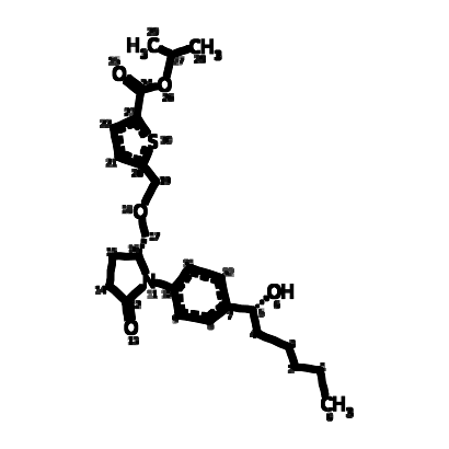 CCCCC[C@@H](O)c1ccc(N2C(=O)CC[C@@H]2COCc2ccc(C(=O)OC(C)C)s2)cc1